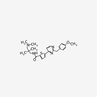 COc1ccc(Cc2nccc(-c3ccc(C(=O)NCC(C)(C)CN(C)C)s3)n2)cc1